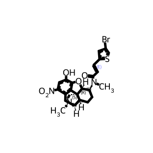 CN1CC[C@]23c4c5c([N+](=O)[O-])cc(O)c4O[C@H]2[C@@H](N(C)C(=O)/C=C/c2cc(Br)cs2)CC[C@H]3[C@H]1C5